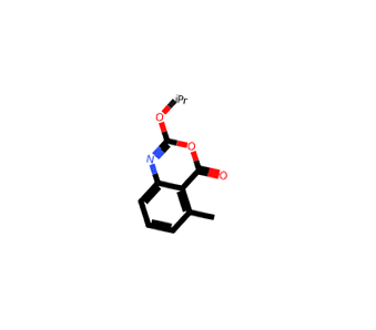 Cc1cccc2nc(OC(C)C)oc(=O)c12